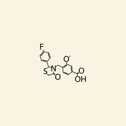 COc1cc(C(=O)O)ccc1CN1C(=O)CSC1c1ccc(F)cc1